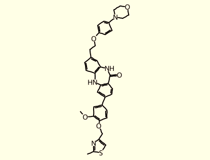 COc1cc(-c2ccc3c(c2)Nc2ccc(CCOc4ccc(N5CCOCC5)cc4)cc2NC3=O)ccc1OCc1csc(C)n1